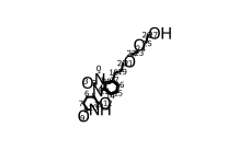 Cn1c(=O)n(C2CCC(=O)NC2=O)c2cccc(CCCOCCOCCO)c21